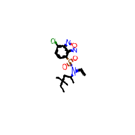 CCN(C(C)CC(C)(C)CC)S(=O)(=O)c1ccc(Cl)c2nonc12